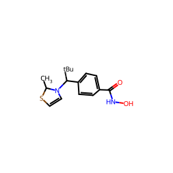 CC1SC=CN1C(c1ccc(C(=O)NO)cc1)C(C)(C)C